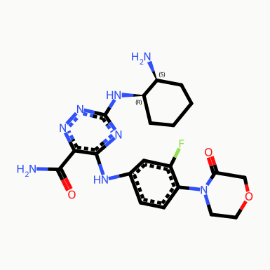 NC(=O)c1nnc(N[C@@H]2CCCC[C@@H]2N)nc1Nc1ccc(N2CCOCC2=O)c(F)c1